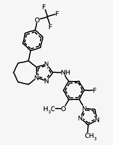 COc1cc(Nc2nc3n(n2)CCCCC3c2ccc(OC(F)(F)F)cc2)cc(F)c1-n1cnc(C)n1